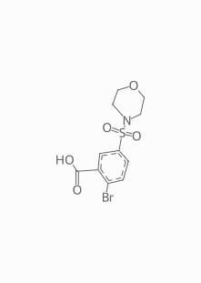 O=C(O)c1cc(S(=O)(=O)N2CCOCC2)ccc1Br